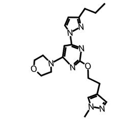 CCCc1ccn(-c2cc(N3CCOCC3)nc(OCCc3cnn(C)c3)n2)n1